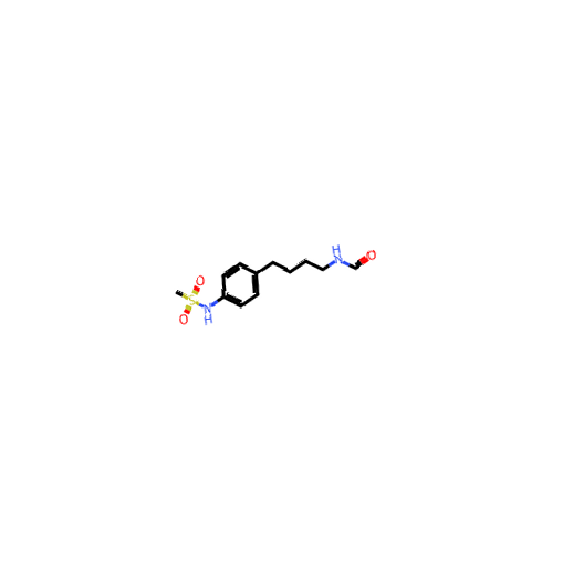 CS(=O)(=O)Nc1ccc(CCCCNC=O)cc1